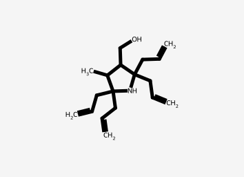 C=CCC1(CC=C)NC(CC=C)(CC=C)C(CO)C1C